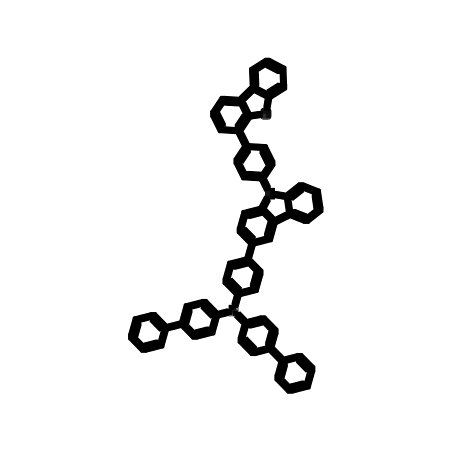 c1ccc(-c2ccc(N(c3ccc(-c4ccccc4)cc3)c3ccc(-c4ccc5c(c4)c4ccccc4n5-c4ccc(-c5cccc6c5oc5ccccc56)cc4)cc3)cc2)cc1